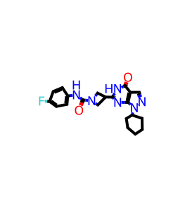 O=C(Nc1ccc(F)cc1)N1CC(c2nc3c(cnn3C3CCCCC3)c(=O)[nH]2)C1